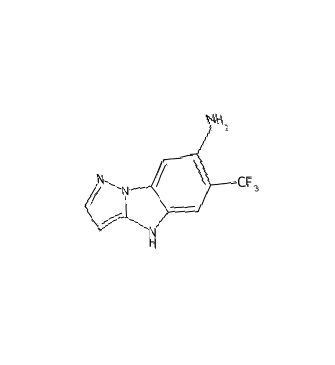 Nc1cc2c(cc1C(F)(F)F)[nH]c1ccnn12